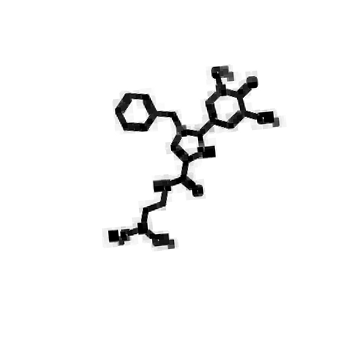 Cc1cc(C2NC(C(=O)NCCN(C)C)=CN2Cc2ccccc2)cn(C)c1=O